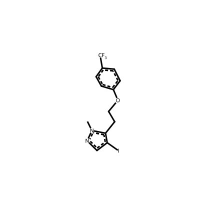 Cn1ncc(I)c1CCOc1ccc(C(F)(F)F)cc1